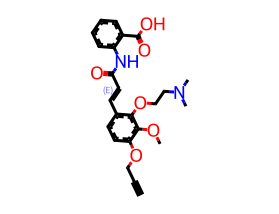 C#CCOc1ccc(/C=C/C(=O)Nc2ccccc2C(=O)O)c(OCCN(C)C)c1OC